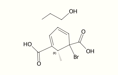 CCCO.C[C@@H]1C(C(=O)O)=CC=CC1(Br)C(=O)O